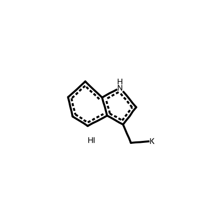 I.[K][CH2]c1c[nH]c2ccccc12